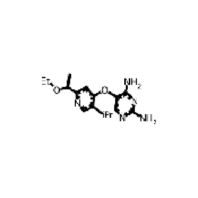 CCOC(C)c1cc(Oc2cnc(N)nc2N)c(C(C)C)cn1